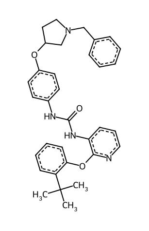 CC(C)(C)c1ccccc1Oc1ncccc1NC(=O)Nc1ccc(OC2CCN(Cc3ccccc3)C2)cc1